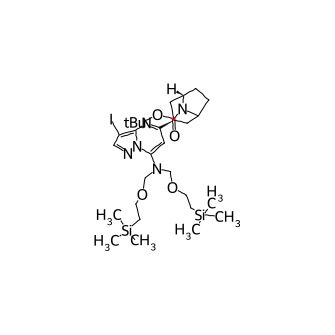 CC(C)(C)OC(=O)N1C2CC[C@H]1C[C@H](c1cc(N(COCC[Si](C)(C)C)COCC[Si](C)(C)C)n3ncc(I)c3n1)C2